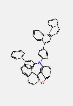 c1ccc(-c2cccc(N(c3ccc(-c4cc5ccc6ccccc6c5c5ccccc45)cc3)c3cccc4oc5ccc6ccccc6c5c34)c2)cc1